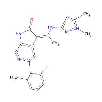 C/C(Nc1cc(C)n(C)n1)=C1/C(=O)Nc2cnc(-c3c(C)cccc3F)cc21